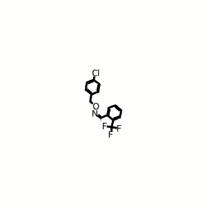 FC(F)(F)c1ccccc1/[C]=N\OCc1ccc(Cl)cc1